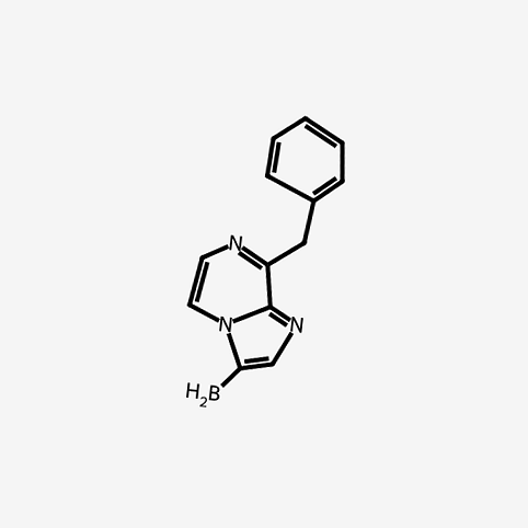 Bc1cnc2c(Cc3ccccc3)nccn12